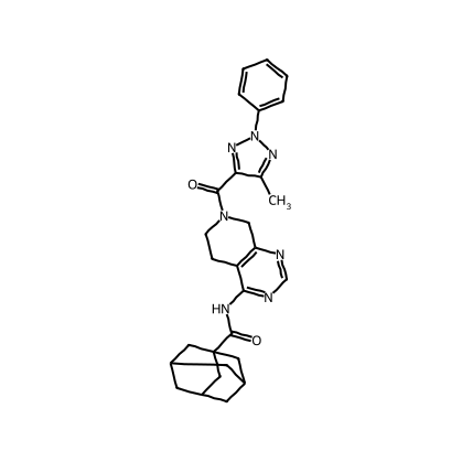 Cc1nn(-c2ccccc2)nc1C(=O)N1CCc2c(ncnc2NC(=O)C23CC4CC(CC(C4)C2)C3)C1